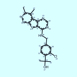 Cc1nnc2sc3c(NCc4ccc(C(C)(C)O)c(Cl)c4)ncnc3c2c1C